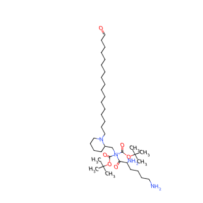 CC(C)(C)OC(=O)[N+](CC1CCCCN1CCCCCCCCCCCCCCCCC=O)(C(=O)OC(C)(C)C)C(=O)C(N)CCCCN